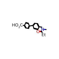 CCC(=O)N(C)Cc1ccc(-c2ccc(C(=O)O)cc2)cc1